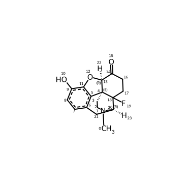 CN1CC[C@]23c4c5ccc(O)c4O[C@H]2C(=O)CCC3(F)[C@H]1C5